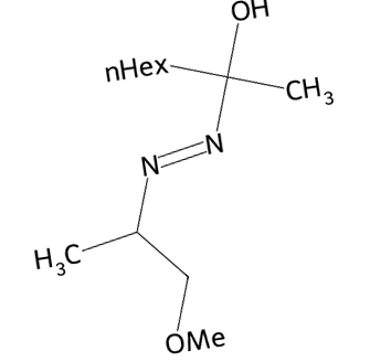 CCCCCCC(C)(O)/N=N/C(C)COC